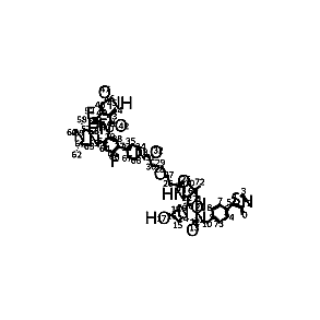 Cc1ncsc1-c1ccc(CNC(=O)[C@@H]2C[C@@H](O)CN2C(=O)C(NC(=O)CCOCCC(=O)N2CC=C(c3cc(NC(=O)c4c[nH]c(=O)cc4C(F)(F)F)c(N4C[C@@H](C)N(C)[C@@H](C)C4)cc3F)CC2)C(C)(C)C)cc1